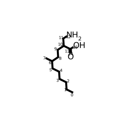 CCCCCCC(C)CCC(CN)C(=O)O